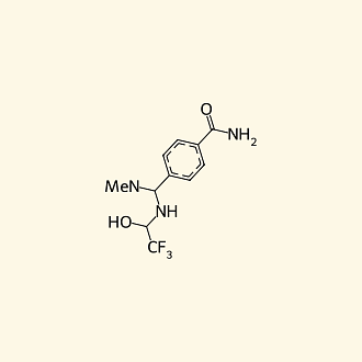 CNC(NC(O)C(F)(F)F)c1ccc(C(N)=O)cc1